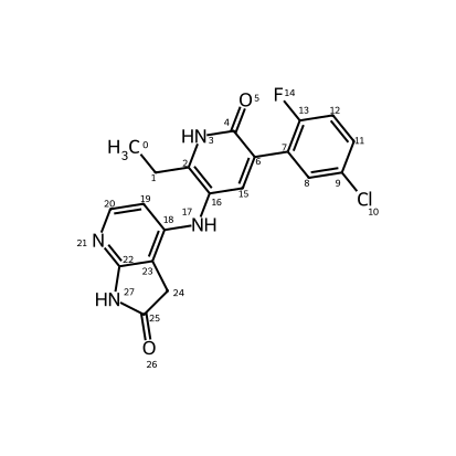 CCc1[nH]c(=O)c(-c2cc(Cl)ccc2F)cc1Nc1ccnc2c1CC(=O)N2